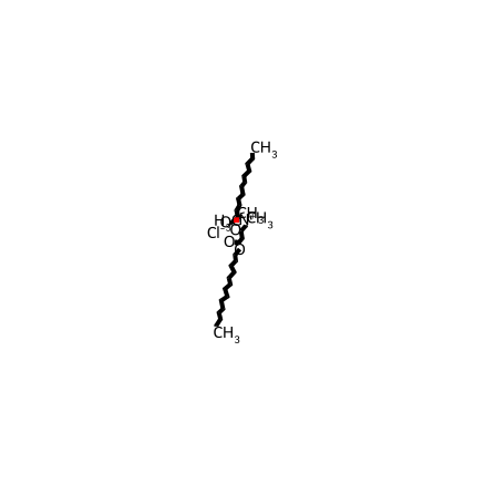 CCCCCCCCCCCCCCOC(=O)CC(C[N+](C)(C)C)OC(=O)CCCCCCCCCCCCC.[Cl-]